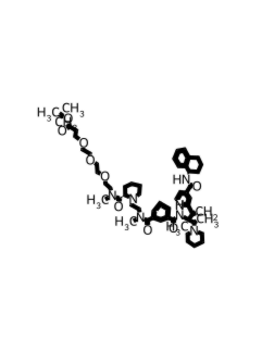 C=C(c1cc(C(=O)N[C@H]2CCCc3ccccc32)ccn1)C(C)(NC(=O)c1cccc(C(=O)N(C)CCN2CCCC[C@H]2C(=O)N(C)CCOCCOCCOCCC(=O)OC(C)(C)C)c1)C(C)N1CCCCC1